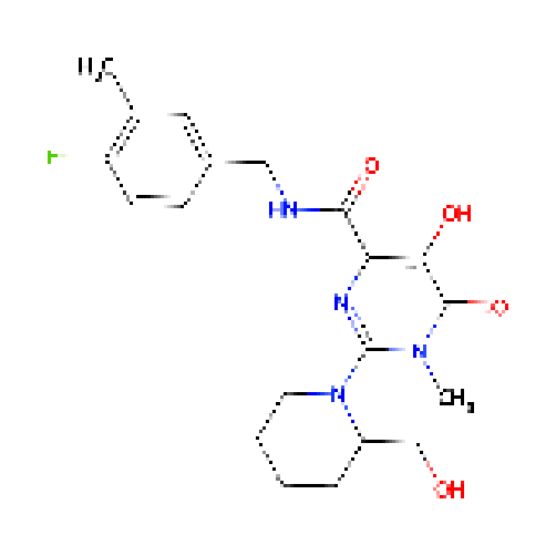 Cc1cc(CNC(=O)c2nc(N3CCCCC3CO)n(C)c(=O)c2O)ccc1F